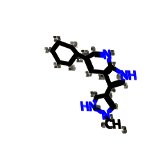 CN1C=C(c2c[nH]c3ncc(C4CCCCC4)cc23)CN1